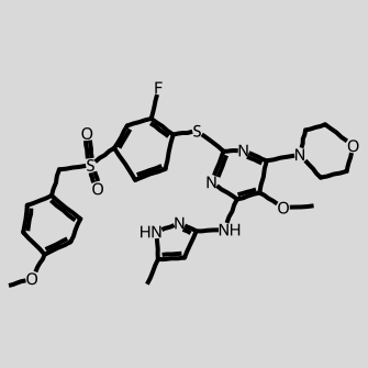 COc1ccc(CS(=O)(=O)c2ccc(Sc3nc(Nc4cc(C)[nH]n4)c(OC)c(N4CCOCC4)n3)c(F)c2)cc1